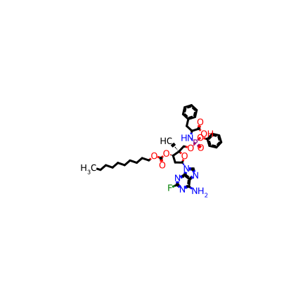 C#C[C@]1(CO[P@@](=O)(NC(Cc2ccccc2)C(=O)O)Oc2ccccc2)O[C@@H](n2cnc3c(N)nc(F)nc32)C[C@@H]1OC(=O)OCCCCCCCCCC